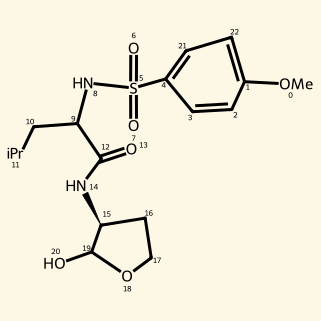 COc1ccc(S(=O)(=O)NC(CC(C)C)C(=O)N[C@H]2CCOC2O)cc1